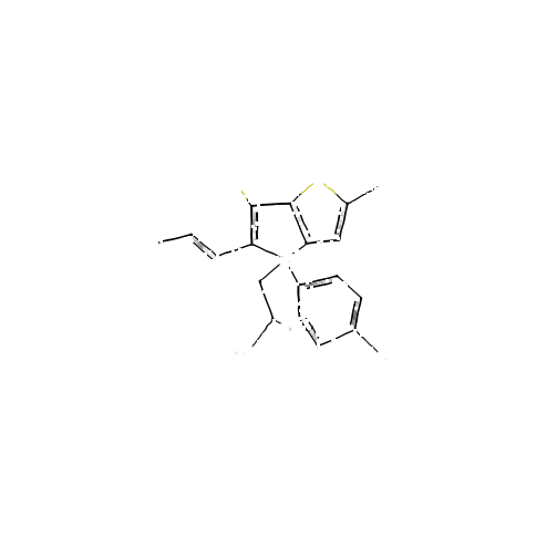 CC=CC1=C(S)c2sc(C)cc2[Si]1(CC(CCCC)CCCCCC)c1ccc(CCC)cc1